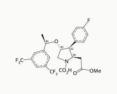 COC(=O)C[C@@H]1[C@H](c2ccc(F)cc2)[C@@H](O[C@H](C)c2cc(C(F)(F)F)cc(C(F)(F)F)c2)CN1C(=O)O